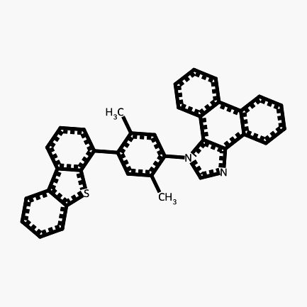 Cc1cc(-n2cnc3c4ccccc4c4ccccc4c32)c(C)cc1-c1cccc2c1sc1ccccc12